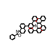 c1ccc(-c2nc3c(ccc4c(-c5ccc(N(c6ccccc6-c6ccccc6)c6ccc7ccccc7c6-c6ccccc6)c(-c6ccccc6)c5)cccc43)o2)cc1